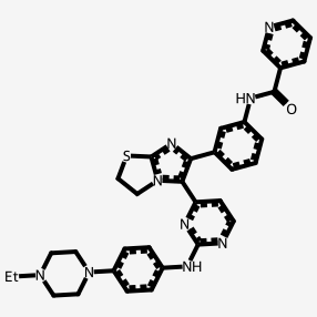 CCN1CCN(c2ccc(Nc3nccc(-c4c(-c5cccc(NC(=O)c6cccnc6)c5)nc5n4CCS5)n3)cc2)CC1